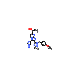 COc1ccc(Cn2nc(C)nc2-c2nc3nc(C(C)O)ccn3c2-c2c[nH]cn2)cc1